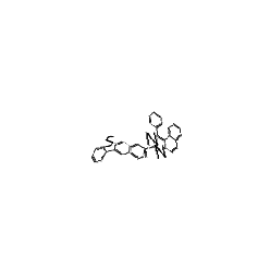 c1ccc(-c2nc(-c3ccc4cc5c(cc4c3)sc3ccccc35)nc3ccc4ccccc4c23)cc1